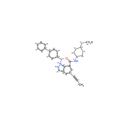 CC#Cc1cc(C(=O)NC2CCC(CC(=O)O)CC2)c2c(cnn2Cc2ccc(-c3ccccc3)cc2)c1